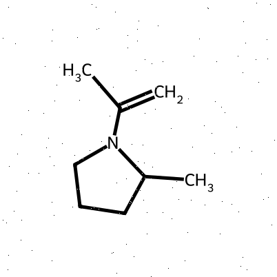 C=C(C)N1CCCC1C